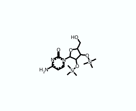 C[Si](C)(C)OC1C(CO)OC(n2ccc(N)nc2=O)C1O[Si](C)(C)C